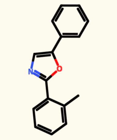 Cc1ccccc1-c1ncc(-c2ccccc2)o1